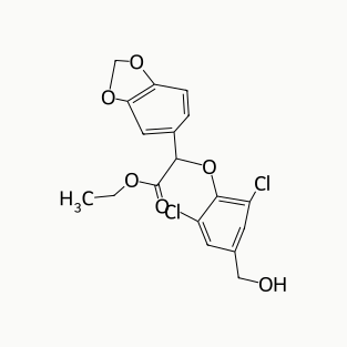 CCOC(=O)C(Oc1c(Cl)cc(CO)cc1Cl)c1ccc2c(c1)OCO2